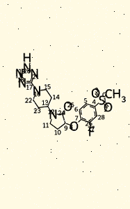 CS(=O)(=O)c1ccc(OC2CCN(C3CCN(c4nn[nH]n4)CC3)C2=O)c(F)c1